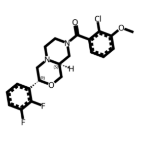 COc1cccc(C(=O)N2CCN3C[C@@H](c4cccc(F)c4F)OC[C@@H]3C2)c1Cl